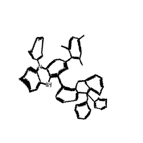 Cc1cc(C)c(-c2cc(-c3cccc4c3Cc3ccccc3C4(c3ccccc3)c3ccccc3)c3c(c2)N(c2ccccc2)c2ccccc2B3)c(C)c1